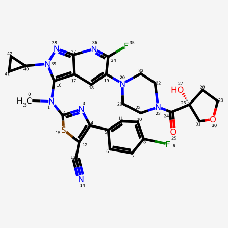 CN(c1nc(-c2ccc(F)cc2)c(C#N)s1)c1c2cc(N3CCN(C(=O)[C@@]4(O)CCOC4)CC3)c(F)nc2nn1C1CC1